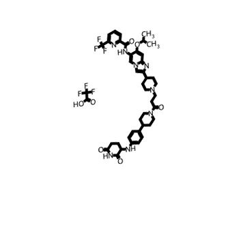 CC(C)Oc1cc2nc(C3CCN(CCC(=O)N4CCC(c5ccc(NC6CCC(=O)NC6=O)cc5)CC4)CC3)cn2cc1NC(=O)c1cccc(C(F)(F)F)n1.O=C(O)C(F)(F)F